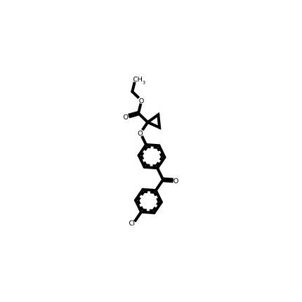 CCOC(=O)C1(Oc2ccc(C(=O)c3ccc(Cl)cc3)cc2)CC1